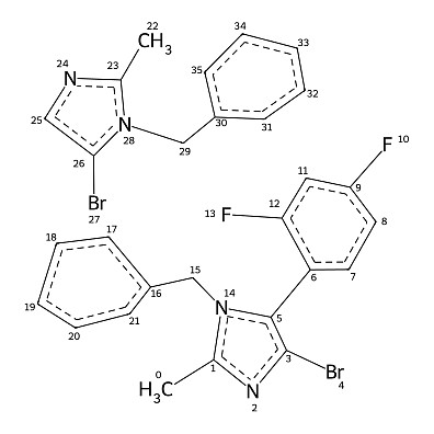 Cc1nc(Br)c(-c2ccc(F)cc2F)n1Cc1ccccc1.Cc1ncc(Br)n1Cc1ccccc1